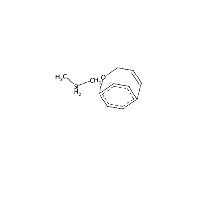 C1=Cc2ccc(cc2)OC1.C[SiH2]C